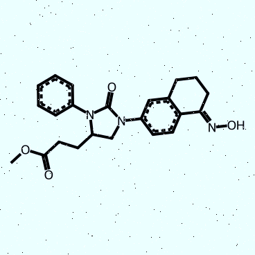 COC(=O)CCC1CN(c2ccc3c(c2)CCCC3=NO)C(=O)N1c1ccccc1